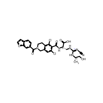 C[C@@H](CO)N/C(=N\C#N)NC[C@H](NC(=O)c1c(Cl)cc2c(c1Cl)CCN(C(=O)c1ccc3ccoc3c1)C2)C(=O)O